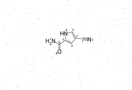 N#Cc1c[nH]c(C(N)=O)c1